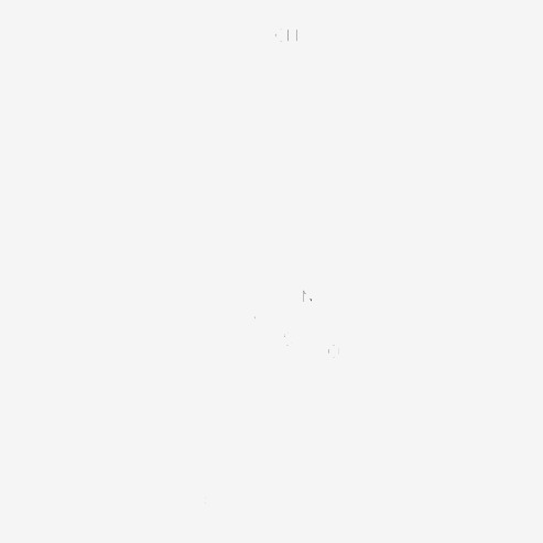 Cc1ccc(-c2ccn(S(=O)(=O)c3ccc(C)cc3)c2)cc1